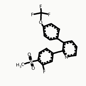 CS(=O)(=O)c1ccc(-c2ncccc2-c2ccc(OC(F)(F)F)cc2)cc1F